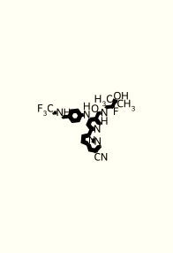 CC(C)(O)C(F)CNC(=O)c1cnc(-c2ccc3cc(C#N)cnn23)cc1Nc1ccc(CNCC(F)(F)F)cc1